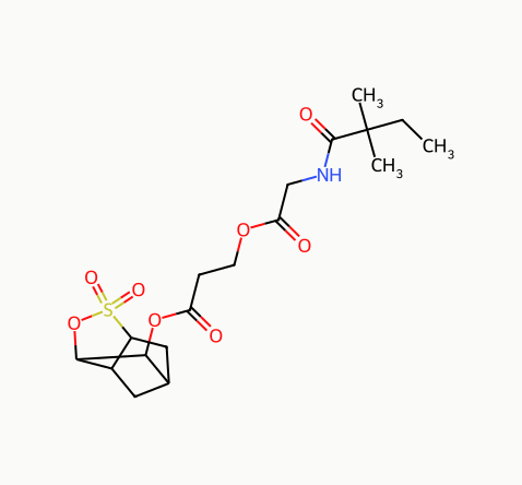 CCC(C)(C)C(=O)NCC(=O)OCCC(=O)OC1C2CC3C1OS(=O)(=O)C3C2